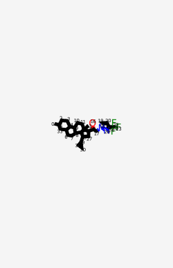 CC1CCC2C(CCC3C2CCC2(C)C(C(=O)Cn4ccc(C(F)(F)F)n4)CC(C4CC4)C32)C1